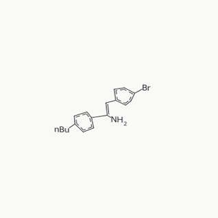 CCCCc1ccc(/C(N)=C/c2ccc(Br)cc2)cc1